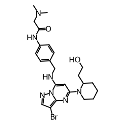 CN(C)CC(=O)Nc1ccc(CNc2cc(N3CCCCC3CCO)nc3c(Br)cnn23)cc1